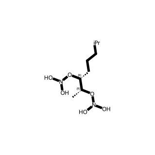 CC(C)CCC[C@@H](ON(O)O)[C@@H](C)ON(O)O